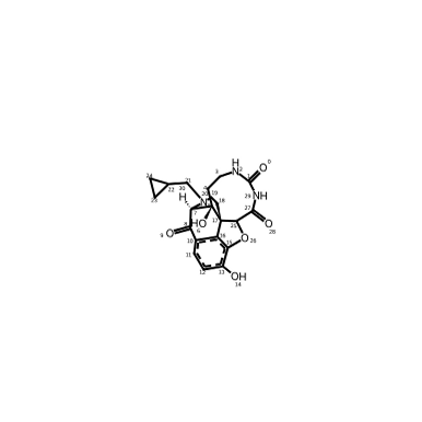 O=C1NCC[C@@]2(O)[C@H]3C(=O)c4ccc(O)c5c4[C@@]2(CCN3CC2CC2)C(O5)C(=O)N1